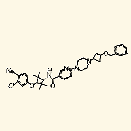 CC1(C)[C@H](NC(=O)c2ccc(N3CCN(C4CC(OCc5ccccc5)C4)CC3)nc2)C(C)(C)[C@H]1Oc1ccc(C#N)c(Cl)c1